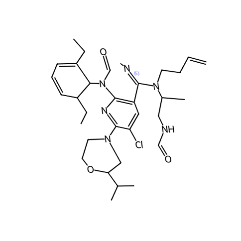 C=CCCN(/C(=N/C)c1cc(Cl)c(N2CCOC(C(C)C)C2)nc1N(C=O)C1C(CC)=CC=CC1CC)C(C)CNC=O